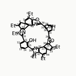 CCc1cc2cc(CC)c3c4nc(c5cccc(c5O)c5nc6c7c(cc(CC)c8oc(nc87)c7cccc(c7O)c7nc(c1o7)c24)cc(CC)c6n5CC)n3CC